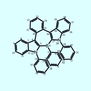 c1ccc(B2c3c(c4ccccc4n3-c3ccccc3)-c3ccccc3-c3c2n(-c2ccccc2)c2ccccc32)cc1